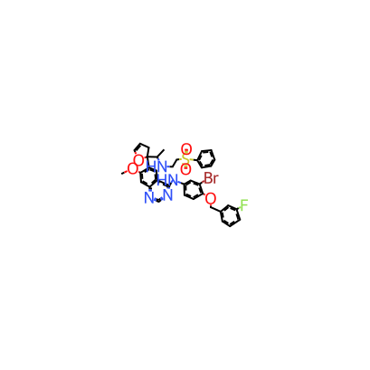 COc1cc2ncnc(Nc3ccc(OCc4cccc(F)c4)c(Br)c3)c2cc1C1(C(C)NCCS(=O)(=O)c2ccccc2)CC=CO1